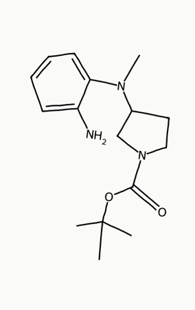 CN(c1ccccc1N)C1CCN(C(=O)OC(C)(C)C)C1